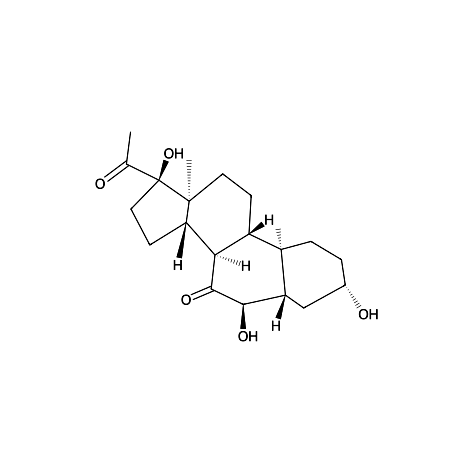 CC(=O)[C@@]1(O)CC[C@H]2[C@@H]3C(=O)[C@H](O)[C@H]4C[C@@H](O)CC[C@]4(C)[C@H]3CC[C@@]21C